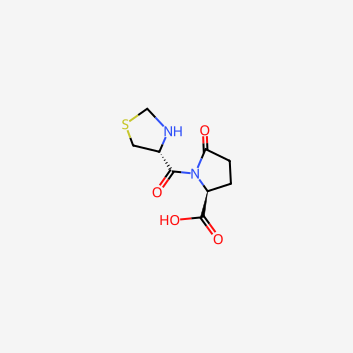 O=C(O)[C@@H]1CCC(=O)N1C(=O)[C@@H]1CSCN1